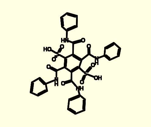 O=C(Nc1ccccc1)c1c(C(=O)Nc2ccccc2)c(S(=O)(=O)O)c(C(=O)Nc2ccccc2)c(C(=O)Nc2ccccc2)c1S(=O)(=O)O